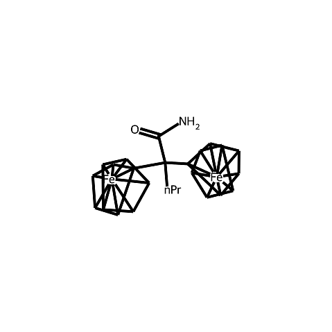 CCCC(C(N)=O)([C]12[CH]3[CH]4[CH]5[CH]1[Fe]45321678[CH]2[CH]1[CH]6[CH]7[CH]28)[C]12[CH]3[CH]4[CH]5[CH]1[Fe]45321678[CH]2[CH]1[CH]6[CH]7[CH]28